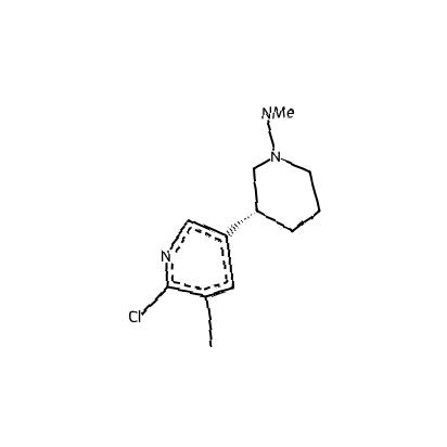 CNN1CCC[C@H](c2cnc(Cl)c(C)c2)C1